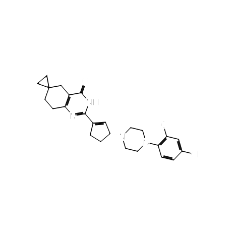 O=c1[nH]c(C2=C[C@H](N3CCN(c4ccc(Cl)cc4Cl)CC3)CC2)nc2c1CC1(CC2)CC1